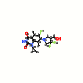 CC1=C(F)C(N2CC(CO)C(F)(F)C2)C(C)c2c1c(=O)[nH]c(=O)n2C1CC1